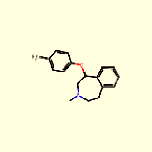 CN1CCc2ccccc2C(Oc2ccc(C(F)(F)F)cc2)C1